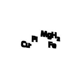 [Cu].[Fe].[MgH2].[P]